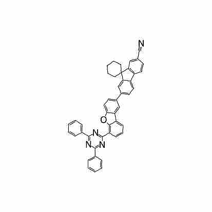 N#Cc1ccc2c(c1)C1(CCCCC1)c1cc(-c3ccc4oc5c(-c6nc(-c7ccccc7)nc(-c7ccccc7)n6)cccc5c4c3)ccc1-2